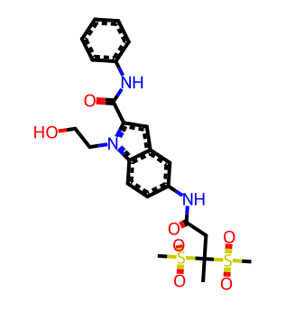 CC(CC(=O)Nc1ccc2c(c1)cc(C(=O)Nc1ccccc1)n2CCO)(S(C)(=O)=O)S(C)(=O)=O